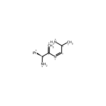 C=C(/N=C\C(C)N)[C@@H](N)C(C)C